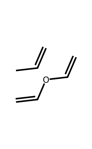 C=CC.C=COC=C